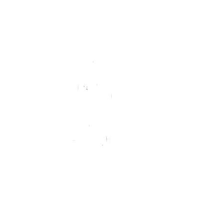 C=CCC(O)(CC=C)[C@@H](CO)CC(C)(C)NC(=O)O